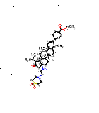 CCOC(=O)C1CC=C(C2=CC[C@@]3(C)C(CC[C@]4(C)C3CC[C@@H]3C5=C(C(C)C)C(=O)C[C@]5(NCCN5CCS(=O)(=O)CC5)CC[C@]34C)[C@H]2C)CC1